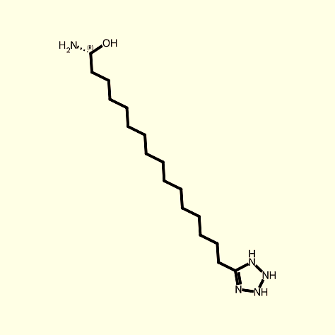 N[C@H](O)CCCCCCCCCCCCCCCC1=NNNN1